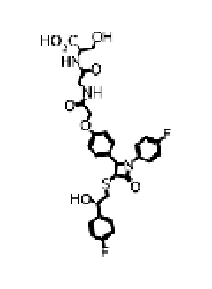 O=C(COc1ccc(C2C(SC[C@H](O)c3ccc(F)cc3)C(=O)N2c2ccc(F)cc2)cc1)NCC(=O)N[C@H](CO)C(=O)O